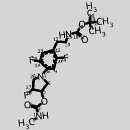 CNC(=O)OC1CN(c2cc(F)c(CCNC(=O)OC(C)(C)C)cc2F)CC1F